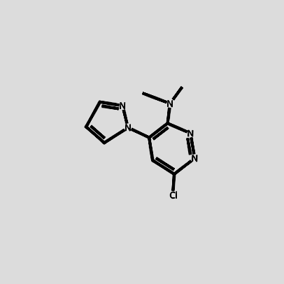 CN(C)c1nnc(Cl)cc1-n1cccn1